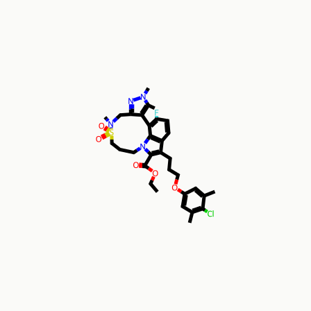 CCOC(=O)c1c(CCCOc2cc(C)c(Cl)c(C)c2)c2ccc(F)c3c2n1CCCS(=O)(=O)N(C)Cc1nn(C)c(C)c1-3